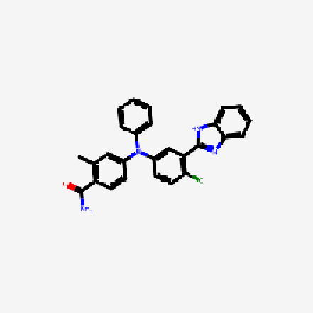 Cc1cc(N(c2ccccc2)c2ccc(Cl)c(-c3nc4ccccc4[nH]3)c2)ccc1C(N)=O